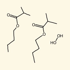 CCCCOC(=O)C(C)C.CCCCOC(=O)C(C)C.OO